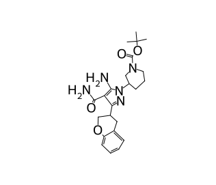 CC(C)(C)OC(=O)N1CCCC(n2nc(C3COc4ccccc4C3)c(C(N)=O)c2N)C1